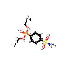 CCOP(=O)(OCC)c1ccc(S(N)(=O)=O)cc1